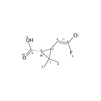 CC1(C)C(/C=C(\F)Cl)[C@H]1C(=O)O